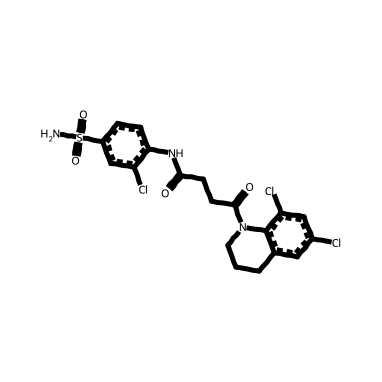 NS(=O)(=O)c1ccc(NC(=O)CCC(=O)N2CCCc3cc(Cl)cc(Cl)c32)c(Cl)c1